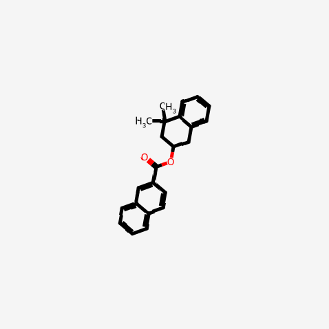 CC1(C)CC(OC(=O)c2ccc3ccccc3c2)Cc2ccccc21